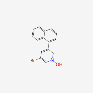 ON1C=C(Br)C=C(c2cccc3ccccc23)C1